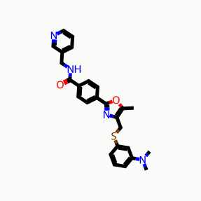 Cc1oc(-c2ccc(C(=O)NCc3cccnc3)cc2)nc1CSc1cccc(N(C)C)c1